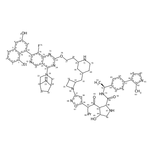 CCc1cccc2cc(O)cc(-c3ncc4c(N5CC6CCC(C5)N6)nc(OCCC5CC(CC6CCN6c6cc(C(C(=O)C7C(O)CNC7C(=O)N[C@@H](C)c7ccc(-c8scnc8C)cc7)C(C)C)on6)CCN5)nc4c3F)c12